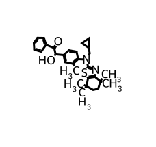 Cc1cc(C(O)C(=O)c2ccccc2)ccc1N(CC1CC1)c1nc2c(s1)C(C)(C)CCC2(C)C